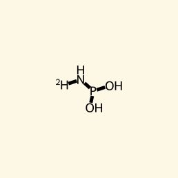 [2H]NP(O)O